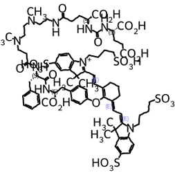 CN(CCNC(=O)CC[C@H](NC(=O)N[C@@H](CCC(=O)O)C(=O)O)C(=O)O)CCN(C)CCC(=O)N[C@@H](Cc1ccccc1)C(=O)N[C@@H](Cc1ccc(OC2=C(/C=C/C3=[N+](CCCCS(=O)(=O)O)c4ccc(S(=O)(=O)O)cc4C3(C)C)CCC/C2=C\C=C2\N(CCCCS(=O)(=O)O)c3ccc(S(=O)(=O)O)cc3C2(C)C)cc1)C(=O)O